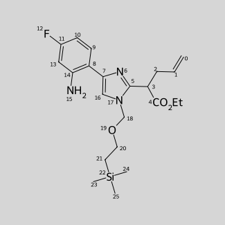 C=CCC(C(=O)OCC)c1nc(-c2ccc(F)cc2N)cn1COCC[Si](C)(C)C